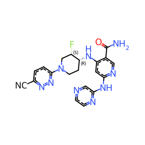 N#Cc1ccc(N2CC[C@@H](Nc3cc(Nc4cnccn4)ncc3C(N)=O)[C@@H](F)C2)nn1